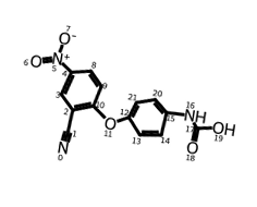 N#Cc1cc([N+](=O)[O-])ccc1Oc1ccc(NC(=O)O)cc1